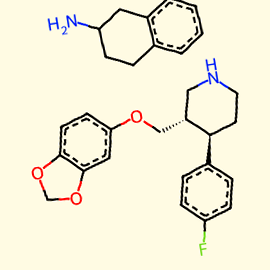 Fc1ccc([C@@H]2CCNC[C@H]2COc2ccc3c(c2)OCO3)cc1.NC1CCc2ccccc2C1